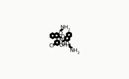 NCCCOc1cc2ccccc2cc1C(=O)N(C(=O)c1cc2ccccc2cc1OCCN)c1ccc(Cl)cc1O